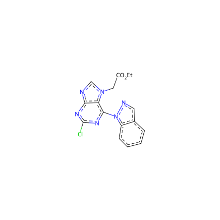 CCOC(=O)Cn1cnc2nc(Cl)nc(-n3ncc4ccccc43)c21